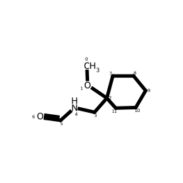 COC1(CNC=O)CCCCC1